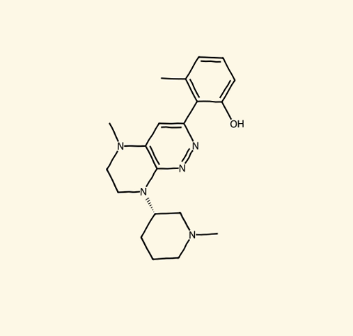 Cc1cccc(O)c1-c1cc2c(nn1)N([C@H]1CCCN(C)C1)CCN2C